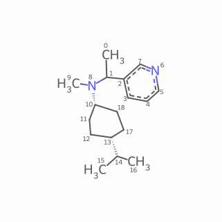 CC(c1cccnc1)N(C)[C@H]1CC[C@@H](C(C)C)CC1